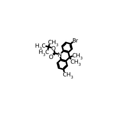 Cc1ccc2c(c1)C(C)(C)c1cc(Br)ccc1N2C(=O)OC(C)(C)C